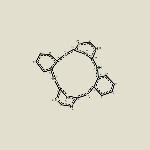 c1ccc2oc3ncnc(n3)[nH]c3ccccc3oc3ncnc(n3)[nH]c2c1